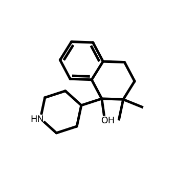 CC1(C)CCc2ccccc2C1(O)C1CCNCC1